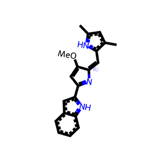 COC1=CC(c2cc3ccccc3[nH]2)=N/C1=C/c1[nH]c(C)cc1C